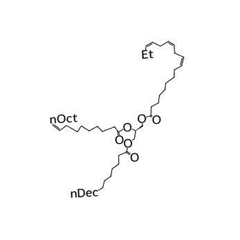 CC/C=C\C/C=C\C/C=C\CCCCCCCC(=O)OC[C@@H](COC(=O)CCCCCCCCCCCCCCCC)OC(=O)CCCCCCC/C=C\CCCCCCCC